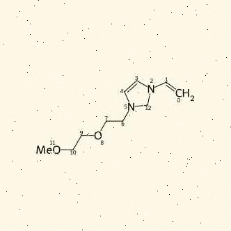 C=CN1C=CN(CCOCCOC)C1